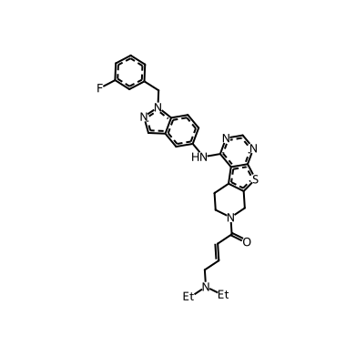 CCN(CC)C/C=C/C(=O)N1CCc2c(sc3ncnc(Nc4ccc5c(cnn5Cc5cccc(F)c5)c4)c23)C1